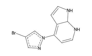 Brc1cnn(C2=C3C=CNC3NC=C2)c1